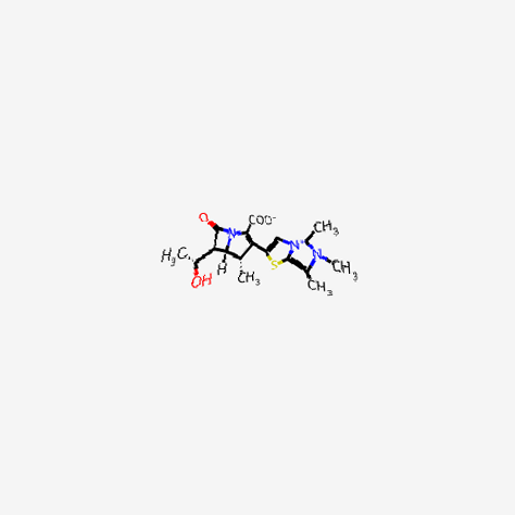 Cc1c2sc(C3=C(C(=O)[O-])N4C(=O)[C@H]([C@@H](C)O)[C@H]4[C@H]3C)c[n+]2c(C)n1C